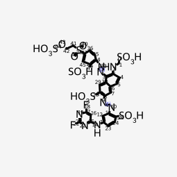 O=S(=O)(O)CNc1ccc2cc(/N=N/c3cc(Nc4cc(F)nc(F)n4)ccc3S(=O)(=O)O)c(S(=O)(=O)O)cc2c1/N=N/c1ccc(S(=O)(=O)CCOS(=O)(=O)O)cc1S(=O)(=O)O